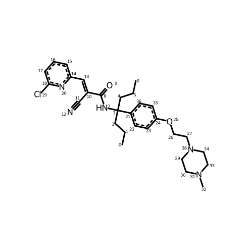 CCCC(CCC)(NC(=O)/C(C#N)=C/c1cccc(Cl)n1)c1ccc(OCCN2CCN(C)CC2)cc1